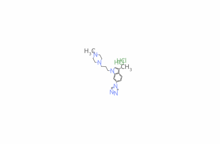 Cc1cn(CCCN2CCN(C)CC2)c2cc(-n3cnnc3)ccc12.Cl.Cl